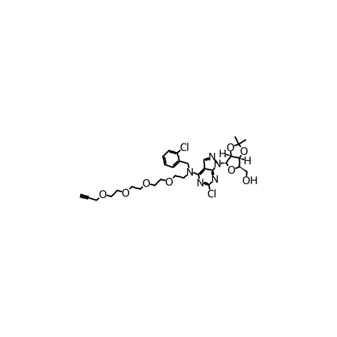 C#CCOCCOCCOCCOCCN(Cc1ccccc1Cl)c1nc(Cl)nc2c1cnn2[C@@H]1O[C@H](CO)[C@H]2OC(C)(C)O[C@H]21